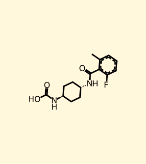 Cc1cccc(F)c1C(=O)N[C@H]1CC[C@H](NC(=O)O)CC1